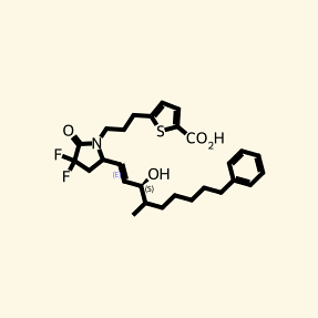 CC(CCCCCc1ccccc1)[C@H](O)/C=C/C1CC(F)(F)C(=O)N1CCCc1ccc(C(=O)O)s1